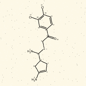 NC1=CCC(C(N)SCC(=O)c2ccc(Cl)c(Cl)c2)C1